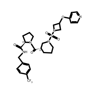 O=C(NCc1ccc(C(F)(F)F)cc1)[C@H]1CCCN1C(=O)[C@H]1CCCN(S(=O)(=O)N2CC(Oc3ccncc3)C2)C1